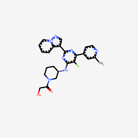 Cc1cc(-c2nc(-c3cnn4ccccc34)nc(N[C@@H]3CCCN(C(=O)CO)C3)c2F)ccn1